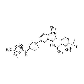 Cc1c([C@@H](C)Nc2nnc(C)c3ncc(N4CCC(NC(=O)OC(C)(C)C)CC4)cc23)cccc1C(F)(F)F